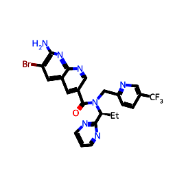 CC[C@@H](c1ncccn1)N(Cc1ccc(C(F)(F)F)cn1)C(=O)c1cnc2nc(N)c(Br)cc2c1